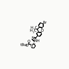 CC(C)(C)OC(=O)N1CCC[C@H]1c1cnc(-c2ccc3c(c2)C(C)(C)c2ccc(Br)cc2O3)[nH]1